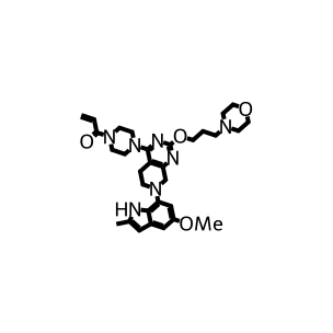 C=CC(=O)N1CCN(c2nc(OCCCN3CCOCC3)nc3c2CCN(c2cc(OC)cc4cc(C)[nH]c24)C3)CC1